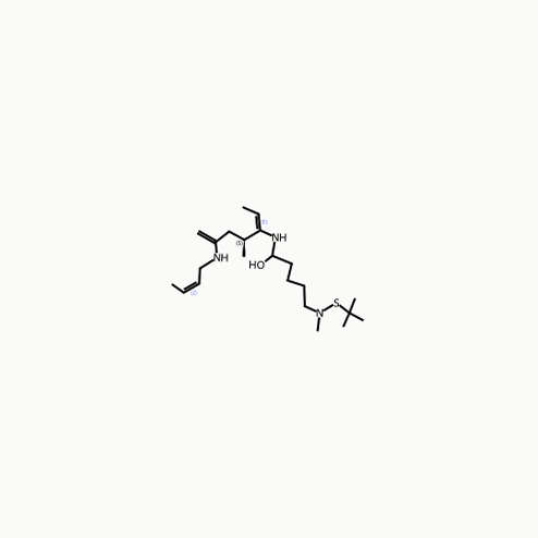 C=C(C[C@H](C)/C(=C\C)NC(O)CCCCN(C)SC(C)(C)C)NC/C=C\C